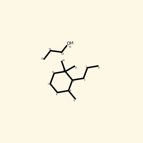 CCCC1C(C)CCCC1(C)C.CCCO